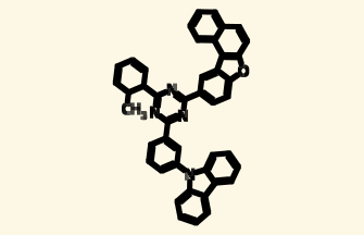 CC1C=CC=CC1c1nc(-c2cccc(-n3c4ccccc4c4ccccc43)c2)nc(-c2ccc3oc4ccc5ccccc5c4c3c2)n1